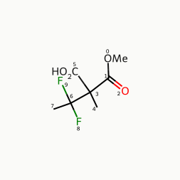 COC(=O)C(C)(C(=O)O)C(C)(F)F